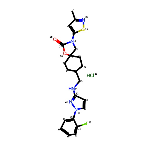 Cc1cc(N2CC3(CCC(CNc4ccn(-c5ccccc5F)n4)CC3)OC2=O)sn1.Cl